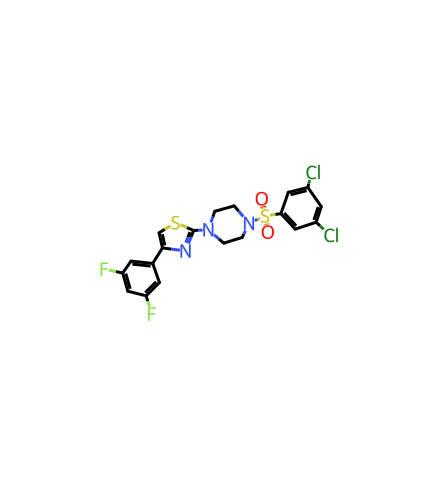 O=S(=O)(c1cc(Cl)cc(Cl)c1)N1CCN(c2nc(-c3cc(F)cc(F)c3)cs2)CC1